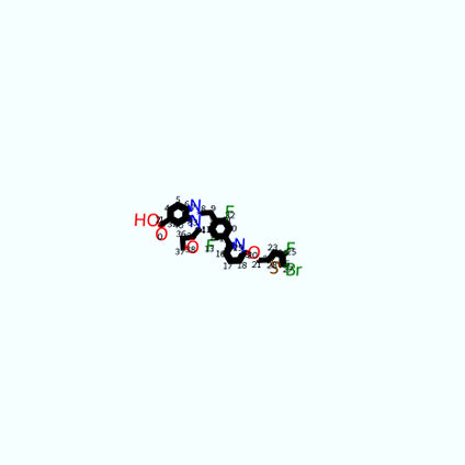 O=C(O)c1ccc2nc(Cc3cc(F)c(-c4cccc(OCc5cc(F)c(Br)s5)n4)cc3F)n(CC3CCO3)c2c1